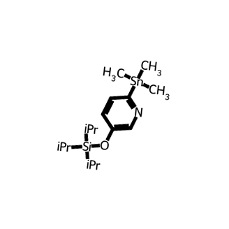 CC(C)[Si](Oc1cc[c]([Sn]([CH3])([CH3])[CH3])nc1)(C(C)C)C(C)C